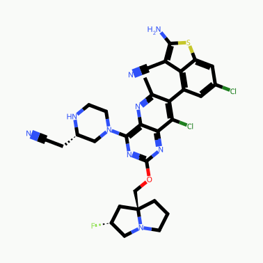 Cc1nc2c(N3CCN[C@@H](CC#N)C3)nc(OC[C@@]34CCCN3C[C@H](F)C4)nc2c(Cl)c1-c1cc(Cl)cc2sc(N)c(C#N)c12